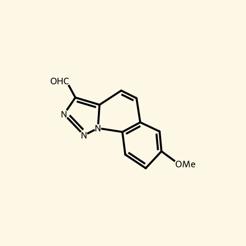 COc1ccc2c(ccc3c(C=O)nnn32)c1